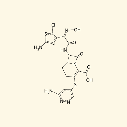 Nc1cc(SC2=C(C(=O)O)N3C(=O)C(NC(=O)/C(=N\O)c4nc(N)sc4Cl)C3CC2)cnn1